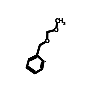 COCOCc1[c]cccc1